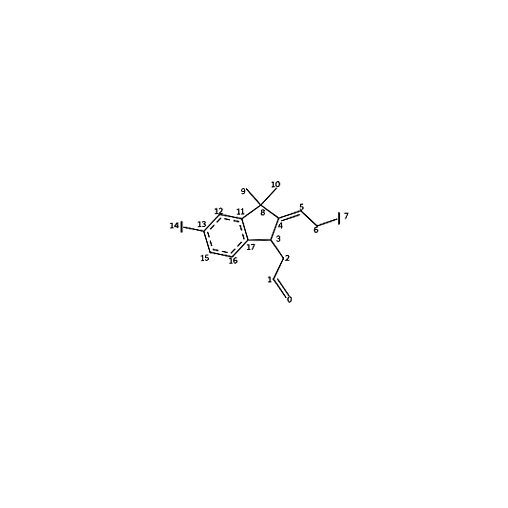 C=CCC1/C(=C\CI)C(C)(C)c2cc(I)ccc21